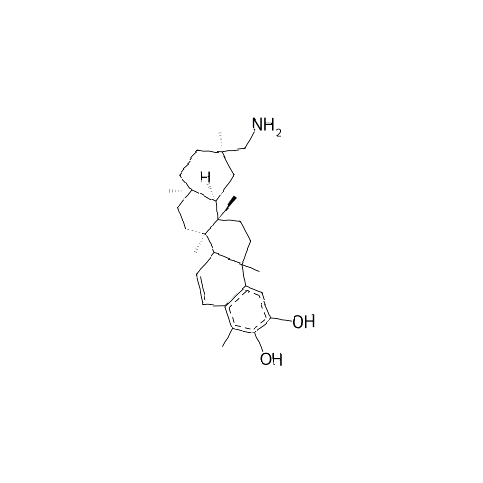 Cc1c(O)c(O)cc2c1C=CC1C2(C)CC[C@@]2(C)[C@@H]3C[C@](C)(CN)CC[C@]3(C)CC[C@]12C